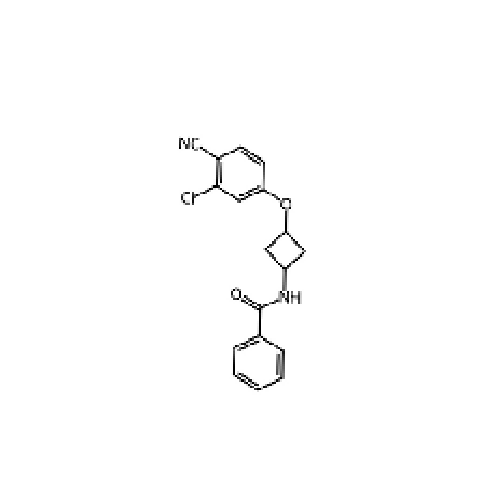 N#Cc1ccc(OC2CC(NC(=O)c3ccccc3)C2)cc1Cl